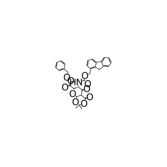 CC1(C)OC(=O)C(C(=O)[C@@H](CC(=O)OOCc2ccccc2)NC(=O)OCc2cccc3c2Cc2ccccc2-3)C(=O)O1